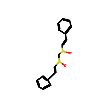 [O-][S+](C=Cc1ccccc1)C[S+]([O-])C=Cc1ccccc1